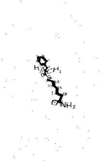 CC(C)(Cc1ccccc1)C(=O)SCCCCCCC(N)=O